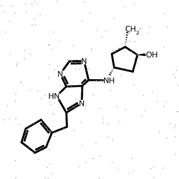 [CH2][C@H]1C[C@@H](Nc2ncnc3[nH]c(Cc4ccccc4)nc23)C[C@@H]1O